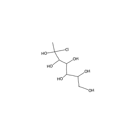 CC(O)(Cl)C(O)C(O)C(O)C(O)CO